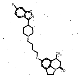 CC1CC(=O)N2CCc3cc(OCCCCN4CCC(c5noc6cc(F)ccc56)CC4)cc1c32